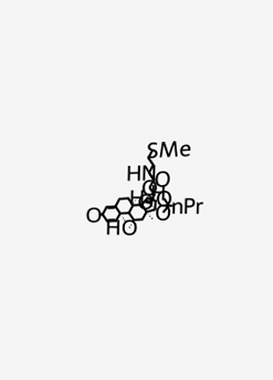 CCCC1O[C@@H]2CC3[C@@H]4CCC5=CC(=O)C=C[C@]5(C)C4[C@@H](O)C[C@]3(C)[C@]2(C(=O)COC(=O)NCCSC)O1